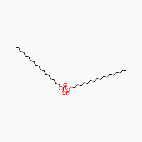 CCCCCCCCCCCCCCCCCCOP(=O)(O)OCCCCCCCCCCCCCCCCCC